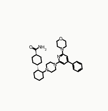 NC(=O)[C@H]1CC[C@H](C2CCCCC2N2CCN(c3cc(-c4ccccc4)cc(N4CCOCC4)n3)CC2)CC1